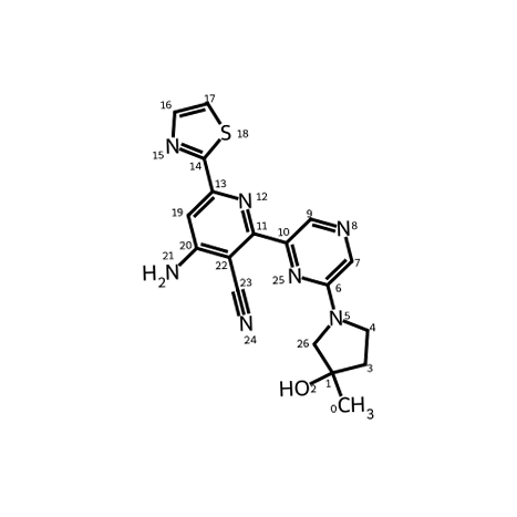 CC1(O)CCN(c2cncc(-c3nc(-c4nccs4)cc(N)c3C#N)n2)C1